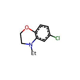 CCN1CCOc2ccc(Cl)cc21